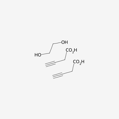 C#CCC(=O)O.C#CCC(=O)O.OCCO